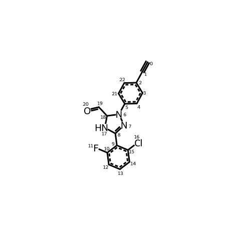 C#Cc1ccc(N2N=C(c3c(F)cccc3Cl)NC2C=O)cc1